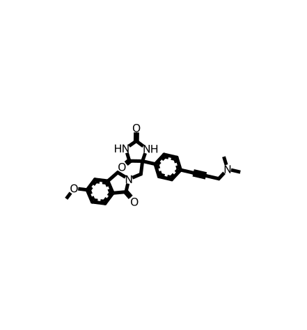 COc1ccc2c(c1)CN(CC1(c3ccc(C#CCN(C)C)cc3)NC(=O)NC1=O)C2=O